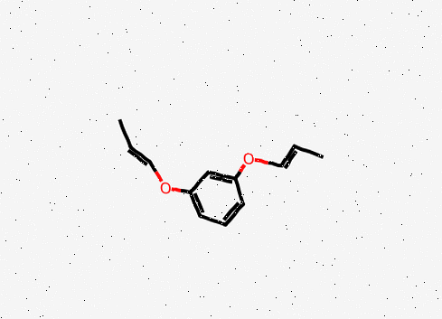 CC=COc1cccc(OC=CC)c1